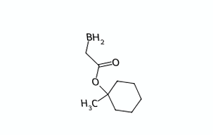 BCC(=O)OC1(C)CCCCC1